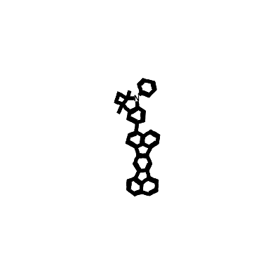 CC12CCC1(C)N(c1ccccc1)c1ccc(-c3ccc4c5cc6c(cc5c5cccc3c54)c3cccc4cccc6c43)cc12